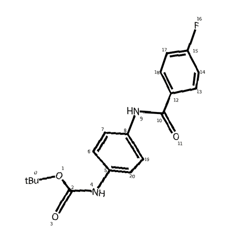 CC(C)(C)OC(=O)Nc1ccc(NC(=O)c2ccc(F)cc2)cc1